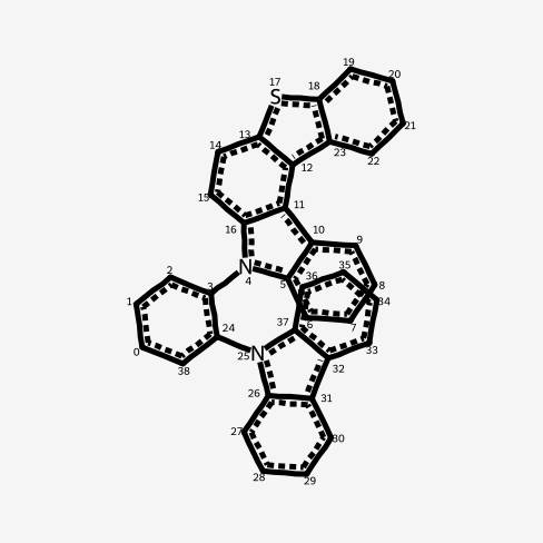 c1ccc(-n2c3ccccc3c3c4c(ccc32)sc2ccccc24)c(-n2c3ccccc3c3ccccc32)c1